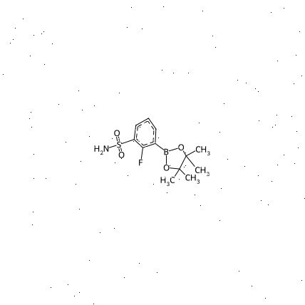 CC1(C)OB(c2cccc(S(N)(=O)=O)c2F)OC1(C)C